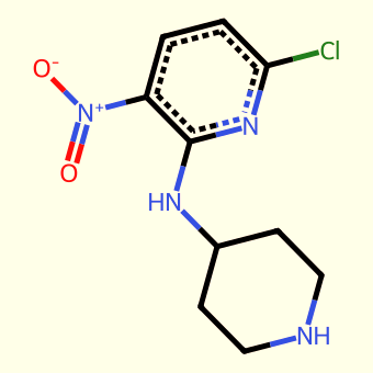 O=[N+]([O-])c1ccc(Cl)nc1NC1CCNCC1